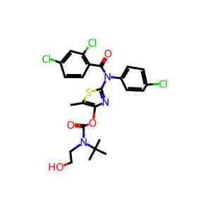 Cc1sc(N(C(=O)c2ccc(Cl)cc2Cl)c2ccc(Cl)cc2)nc1OC(=O)N(CCO)C(C)(C)C